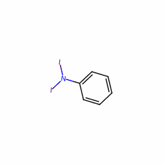 IN(I)c1ccccc1